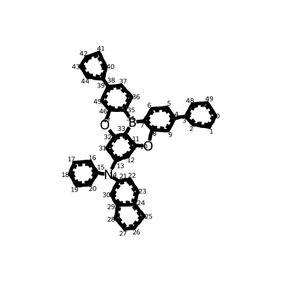 c1ccc(-c2ccc3c(c2)Oc2cc(N(c4ccccc4)c4ccc5ccccc5c4)cc4c2B3c2ccc(-c3ccccc3)cc2O4)cc1